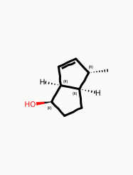 C[C@H]1C=C[C@H]2[C@@H]1CC[C@H]2O